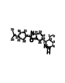 CCC1CCNN=C1c1ccc2nc(-c3ccc(C(C)C)cc3)oc2c1